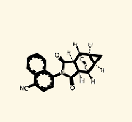 N#Cc1ccc(N2C(=O)[C@@H]3[C@@H]4CC[C@@H]([C@H]5C[C@H]54)[C@@H]3C2=O)c2ccccc12